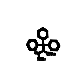 CNC(=O)C(OC)=P(c1ccccc1)(c1ccccc1)c1ccccc1